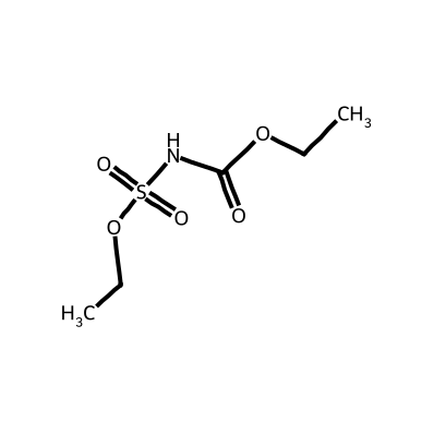 CCOC(=O)NS(=O)(=O)OCC